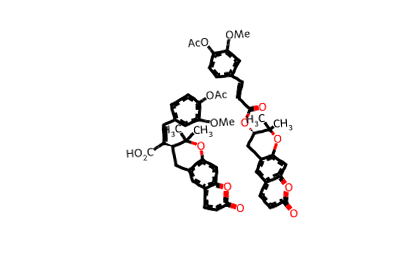 COc1cc(/C=C(/C(=O)O)[C@@H]2Cc3cc4ccc(=O)oc4cc3OC2(C)C)ccc1OC(C)=O.COc1cc(/C=C/C(=O)O[C@H]2Cc3cc4ccc(=O)oc4cc3OC2(C)C)ccc1OC(C)=O